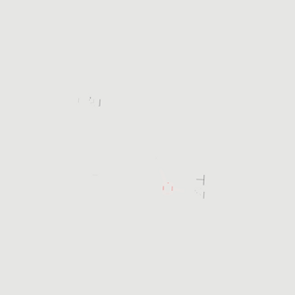 [Li][C]1=C(O[SiH](C)C)C(C)=C(C)C1C(C)(C)C